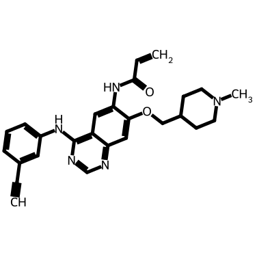 C#Cc1cccc(Nc2ncnc3cc(OCC4CCN(C)CC4)c(NC(=O)C=C)cc23)c1